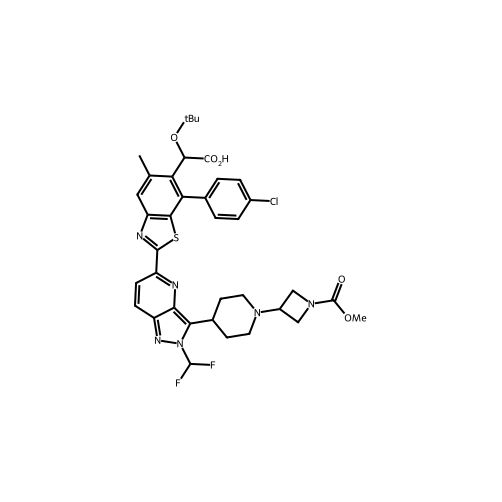 COC(=O)N1CC(N2CCC(c3c4nc(-c5nc6cc(C)c(C(OC(C)(C)C)C(=O)O)c(-c7ccc(Cl)cc7)c6s5)ccc4nn3C(F)F)CC2)C1